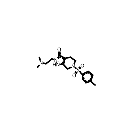 Cc1ccc(S(=O)(=O)N2CCc3c([nH]n(CCN(C)C)c3=O)C2)cc1